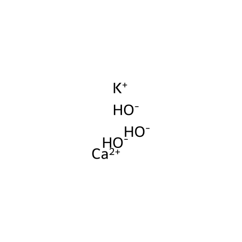 [Ca+2].[K+].[OH-].[OH-].[OH-]